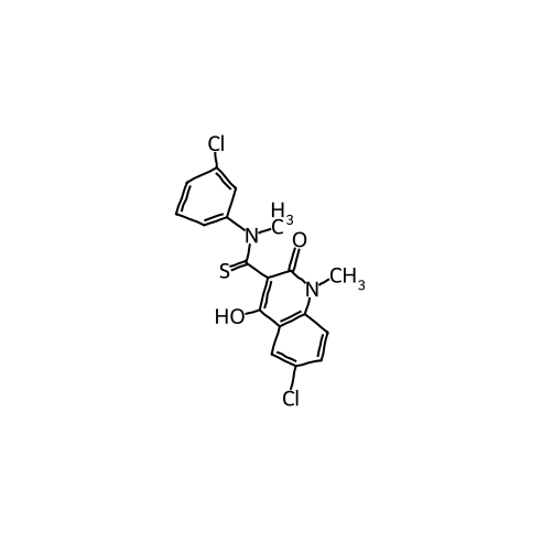 CN(C(=S)c1c(O)c2cc(Cl)ccc2n(C)c1=O)c1cccc(Cl)c1